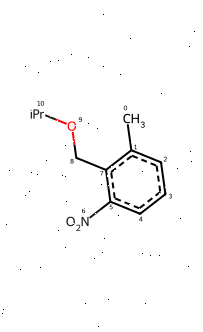 Cc1cccc([N+](=O)[O-])c1COC(C)C